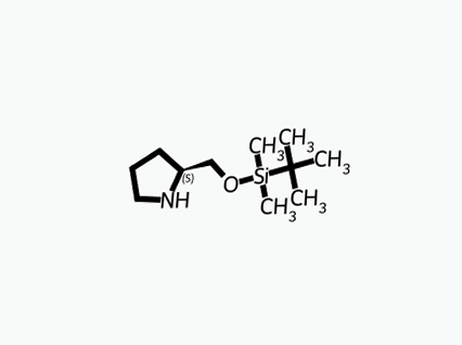 CC(C)(C)[Si](C)(C)OC[C@@H]1CCCN1